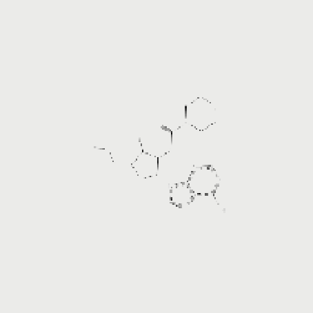 CSC[C@H]1O[C@@H](n2cnc3c(N)ncnc32)C(OC(=O)N2CCOCC2)C1O